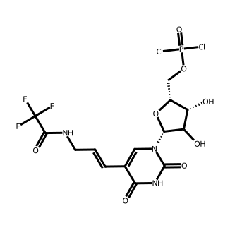 O=C(NC/C=C/c1cn([C@@H]2O[C@H](COP(=O)(Cl)Cl)[C@H](O)C2O)c(=O)[nH]c1=O)C(F)(F)F